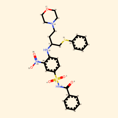 O=C(NS(=O)(=O)c1ccc(NC(CCN2CCOCC2)CSc2ccccc2)c([N+](=O)[O-])c1)c1ccccc1